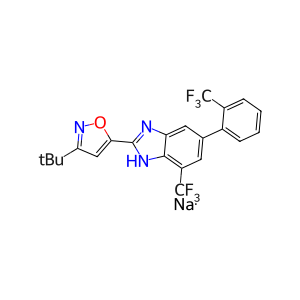 CC(C)(C)c1cc(-c2nc3cc(-c4ccccc4C(F)(F)F)cc(C(F)(F)F)c3[nH]2)on1.[Na]